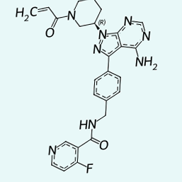 C=CC(=O)N1CCC[C@@H](n2nc(-c3ccc(CNC(=O)c4cnccc4F)cc3)c3c(N)ncnc32)C1